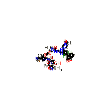 CCC(=O)N1CCN(c2nc(NCCC(=O)N(C)CCOCCOc3cc(-c4scnc4C)ccc3CNC(=O)[C@@H]3C[C@@H](O)CN3C(=O)[C@@H](c3cc(C)no3)C(C)C)nc3c(F)c(-c4cc(O)cc5ccccc45)c(Cl)cc23)CC1